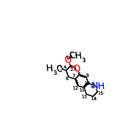 COC(=O)C(C)Cc1ccc2c(c1)CCCN2